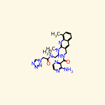 Cc1cccc2cc(CNC(=O)c3nccnc3N)c(N(C)CCN(C)C(=O)Cn3cnnn3)nc12